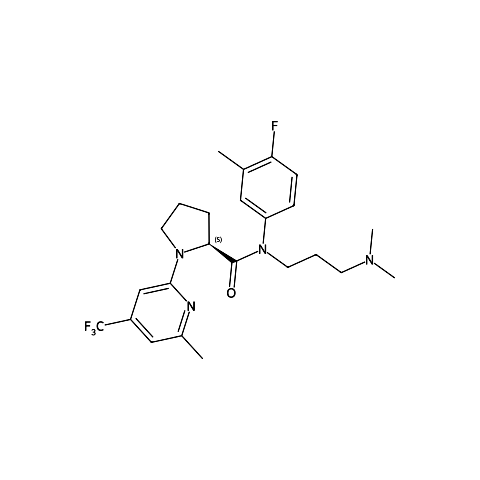 Cc1cc(C(F)(F)F)cc(N2CCC[C@H]2C(=O)N(CCCN(C)C)c2ccc(F)c(C)c2)n1